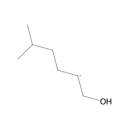 CC(C)CC[CH]CO